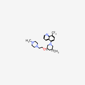 C[C@H]1C[C@@H](OCCN2CCN(C)CC2)CN(c2ccc(C(F)(F)F)c3ncccc23)C1